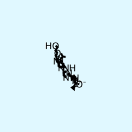 CC(C)n1c(COCCO)nc2cnc(Nc3ccnc(-c4cnn([S+]([O-])C5CC5)c4)n3)cc21